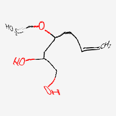 C=CCC(OC(=O)O)C(O)CO